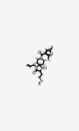 C=CCN1C(=O)C(CCSC)NC12CCN(C(=O)c1cc(C)oc1C)CC2